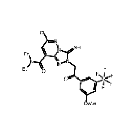 CCN(CC)C(=O)c1cc(Cl)nn2c(=N)n(CC(=O)c3cc(OC)cc(S(F)(F)(F)(F)F)c3)nc12